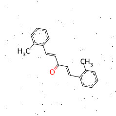 Cc1ccccc1C=CC(=O)C=Cc1ccccc1C